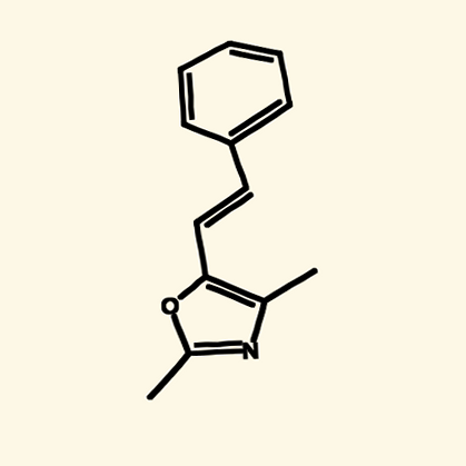 Cc1nc(C)c(/C=C/c2ccccc2)o1